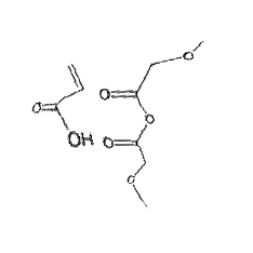 C=CC(=O)O.COCC(=O)OC(=O)COC